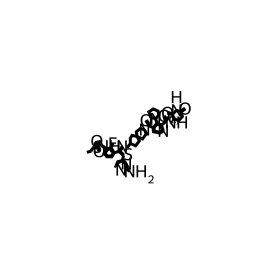 CCCS(=O)(=O)Nc1cccc(-c2nc(C3CCC4(CC3)CCN(C(=O)c3ccnc(C(=O)N[C@@H]5CCC(=O)NC5=O)c3N3CCCCC3)CC4)sc2-c2ccnc(N)n2)c1F